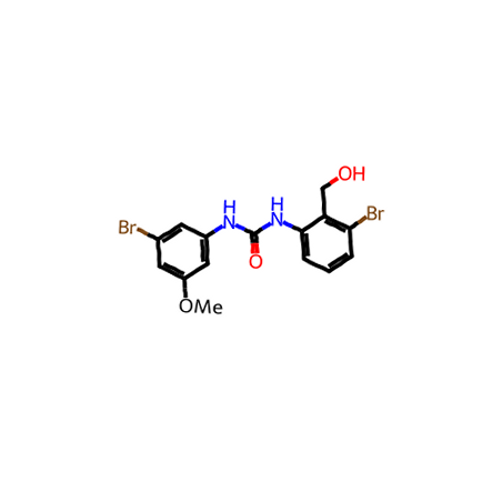 COc1cc(Br)cc(NC(=O)Nc2cccc(Br)c2CO)c1